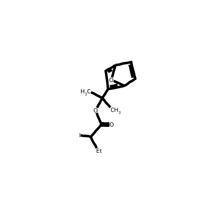 CCC(I)C(=O)OC(C)(C)c1cc2ccc1o2